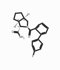 NC(=O)[C@@H]1[C@H]2CCC[C@H]2CN1C(=O)c1ccccc1-c1ccc(F)cc1